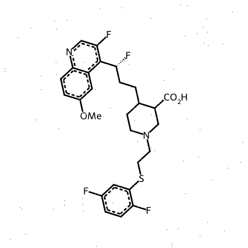 COc1ccc2ncc(F)c([C@H](F)CCC3CCN(CCSc4cc(F)ccc4F)CC3C(=O)O)c2c1